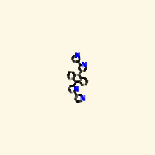 c1cncc(-c2cc(-c3c4ccccc4c(-c4cccc(-c5cccnc5)n4)c4ccccc34)ccn2)c1